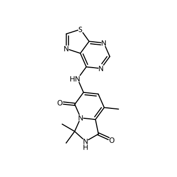 Cc1cc(Nc2ncnc3scnc23)c(=O)n2c1C(=O)NC2(C)C